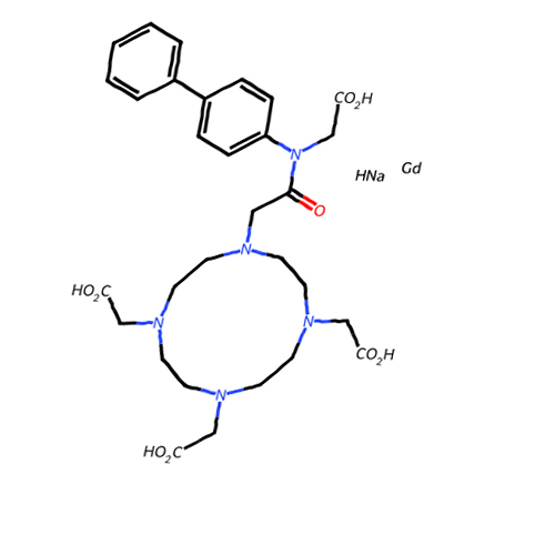 O=C(O)CN1CCN(CC(=O)O)CCN(CC(=O)N(CC(=O)O)c2ccc(-c3ccccc3)cc2)CCN(CC(=O)O)CC1.[Gd].[NaH]